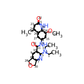 CCN(CC)c1nc2c(cc1C(=O)Nc1cc(OC)c3[nH]c(=O)cc(C)c3c1)COC2